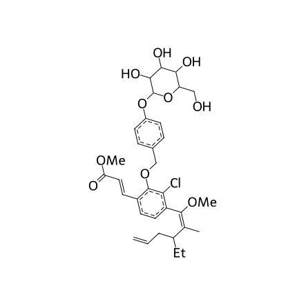 C=CCC(CC)/C(C)=C(/OC)c1ccc(/C=C/C(=O)OC)c(OCc2ccc(OC3OC(CO)C(O)C(O)C3O)cc2)c1Cl